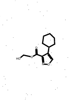 O=C(OCO)c1nocc1C1CCCCC1